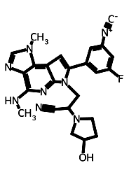 [C-]#[N+]c1cc(F)cc(-c2cc3c4c(ncn4C)c(NC)nc3n2CC(C#N)N2CCC(O)C2)c1